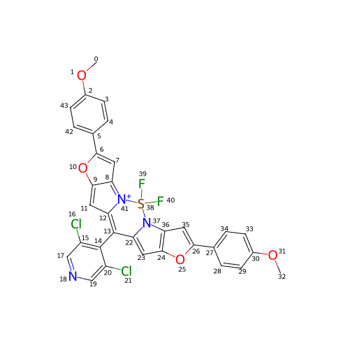 COc1ccc(-c2cc3c(o2)=CC2=C(c4c(Cl)cncc4Cl)c4cc5oc(-c6ccc(OC)cc6)cc5n4S(F)(F)[N+]=32)cc1